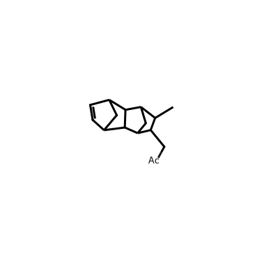 CC(=O)CC1C(C)C2CC1C1C3C=CC(C3)C21